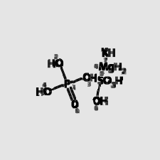 O=P(O)(O)O.O=S(=O)(O)O.[KH].[MgH2]